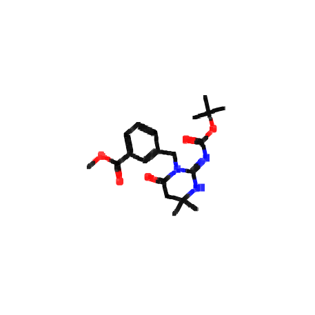 COC(=O)c1cccc(CN2C(=O)CC(C)(C)N/C2=N/C(=O)OC(C)(C)C)c1